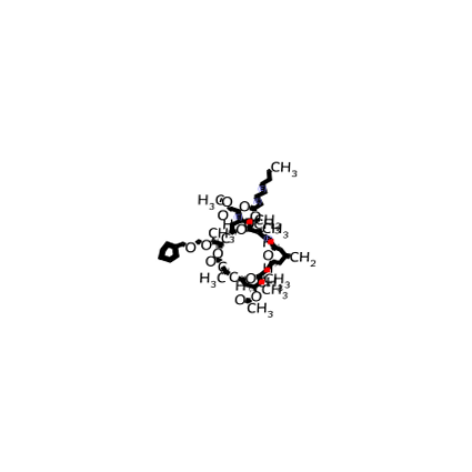 C=C1C[C@H]2C[C@]3(C)O[C@H](C[C@@H](C)CC(=O)O[C@@H]([C@@H](C)OCOCc4ccccc4)C[C@@H]4C/C(=C\C(=O)OC)[C@H](OC(=O)/C=C/C=C/CCC)[C@@](OC)(O4)C(C)(C)/C=C/[C@@H](C1)O2)C[C@H](OC(C)=O)C3(C)C